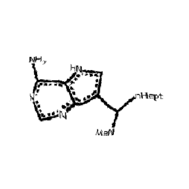 CCCCCCCC(NC)c1c[nH]c2c(N)ncnc12